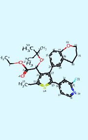 CCOC(=O)C(OC(C)(C)C)c1c(C)sc(-c2ccnc(F)c2)c1-c1ccc2c(c1)CCCO2